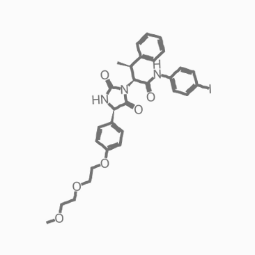 COCCOCCOc1ccc([C@H]2NC(=O)N([C@H](C(=O)Nc3ccc(I)cc3)[C@@H](C)c3ccccc3)C2=O)cc1